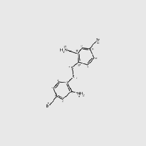 Nc1cc(Br)ccc1SSc1ccc(Br)cc1N